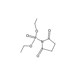 CCOP(=O)(OCC)N1C(=O)CCC1=O